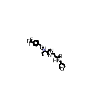 CC/C(=N\OCc1ccc(C(F)(F)F)cc1)c1cnc(CCC(=O)NCC2CCOCC2)nc1